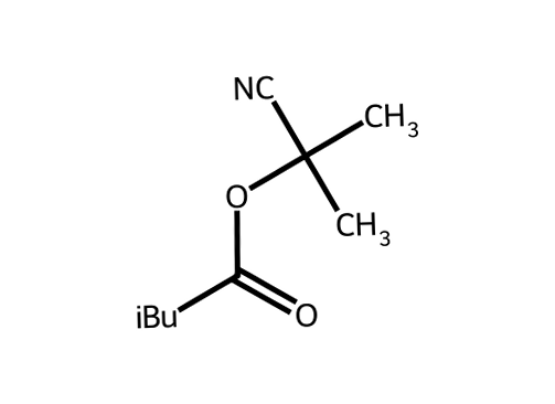 [CH2]CC(C)C(=O)OC(C)(C)C#N